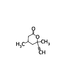 C#CC1(C)CC(C)CC(=O)O1